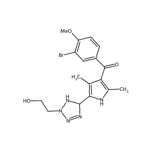 COc1ccc(C(=O)c2c(C)[nH]c(C3N=NN(CCO)N3)c2C)cc1Br